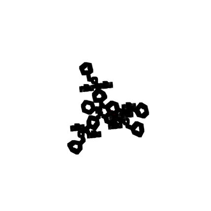 CCCCC(CCCC)(OCc1ccccc1)c1ccc(P(c2ccc(C(CCCC)(CCCC)OCc3ccccc3)cc2)N(C2CCCCC2)P(c2ccc(C(CCCC)(CCCC)OCc3ccccc3)cc2)c2ccc(C(CCCC)(CCCC)OCc3ccccc3)cc2)cc1